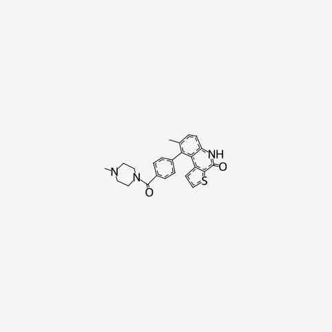 Cc1ccc2[nH]c(=O)c3sccc3c2c1-c1ccc(C(=O)N2CCN(C)CC2)cc1